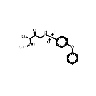 CC[C@H](NC=O)C(=O)CNS(=O)(=O)c1ccc(Oc2ccccc2)cc1